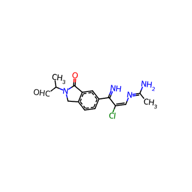 C/C(N)=N\C=C(\Cl)C(=N)c1ccc2c(c1)C(=O)N(C(C)C=O)C2